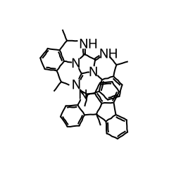 CC(C)c1cccc(C(C)C)c1N1C(=N)C(=N)N(c2c(C(C)C)cccc2C(C)C)C1=NN1c2ccccc2C2(C)c3ccccc3-c3cccc1c32